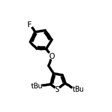 CC(C)(C)c1cc(COc2ccc(F)cc2)c(C(C)(C)C)s1